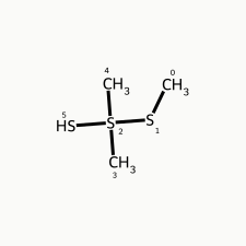 CSS(C)(C)S